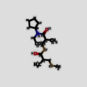 CC(=O)SCC(C)C(=O)SCC(C)C(=O)N(CC(=O)O)C1CCCC1